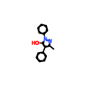 Cc1nn(-c2ccccc2)c(O)c1-c1ccccc1